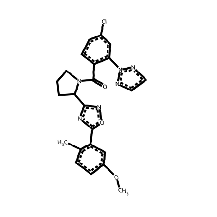 COc1ccc(C)c(-c2nc(C3CCCN3C(=O)c3ccc(Cl)cc3-n3nccn3)no2)c1